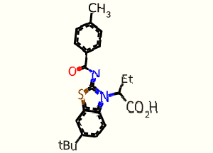 CCC(C(=O)O)n1/c(=N/C(=O)c2ccc(C)cc2)sc2cc(C(C)(C)C)ccc21